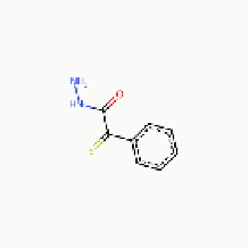 NNC(=O)C(=S)c1ccccc1